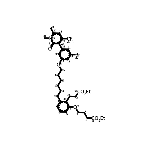 CCOC(=O)CCCOc1cccc(CCCCCCOc2cc(Br)cc(-c3c(C(F)(F)F)cc(C)n(C)c3=O)c2)c1CCC(=O)OCC